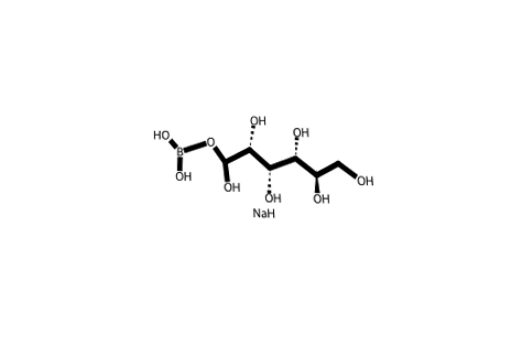 OC[C@@H](O)[C@@H](O)[C@H](O)[C@@H](O)C(O)OB(O)O.[NaH]